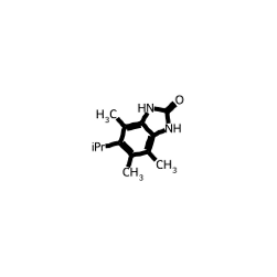 Cc1c(C(C)C)c(C)c2[nH]c(=O)[nH]c2c1C